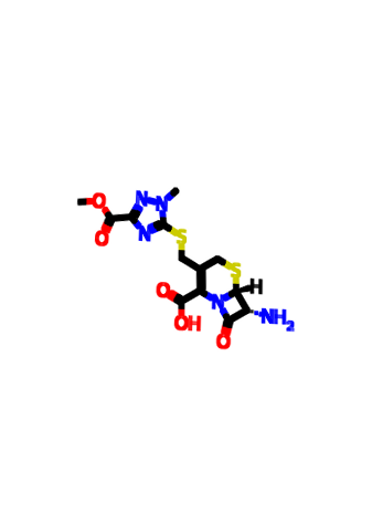 COC(=O)c1nc(SCC2=C(C(=O)O)N3C(=O)[C@@H](N)[C@H]3SC2)n(C)n1